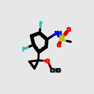 CS(=O)(=O)Nc1cc(C2(OC=O)CC2)c(F)cc1F